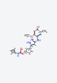 COc1cc(=O)n(C)cc1Nc1cc([C@H]2CC[C@@H](OC(=O)NC34CC(C3)C4)C2)[nH]n1